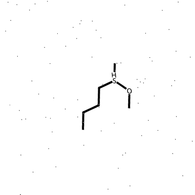 [CH2][SH](CCCC)OC